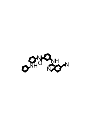 N#Cc1ccc2cncc(Nc3cccc(C(=O)Nc4cccc(Nc5ccccc5)c4)c3)c2c1